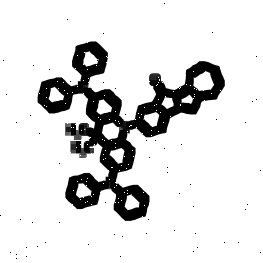 CC1(C)c2cc(N(c3ccccc3)c3ccccc3)ccc2N(c2ccc3c(c2)C(=O)c2c4cccccc-4cc2-3)c2ccc(N(c3ccccc3)c3ccccc3)cc21